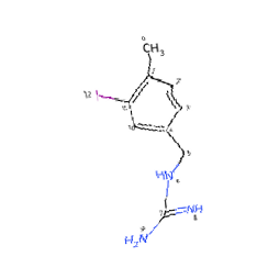 Cc1ccc(CNC(=N)N)cc1I